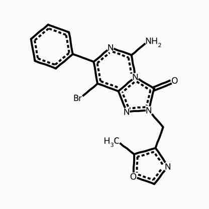 Cc1ocnc1Cn1nc2c(Br)c(-c3ccccc3)nc(N)n2c1=O